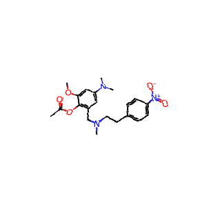 COc1cc(N(C)C)cc(CN(C)CCc2ccc([N+](=O)[O-])cc2)c1OC(C)=O